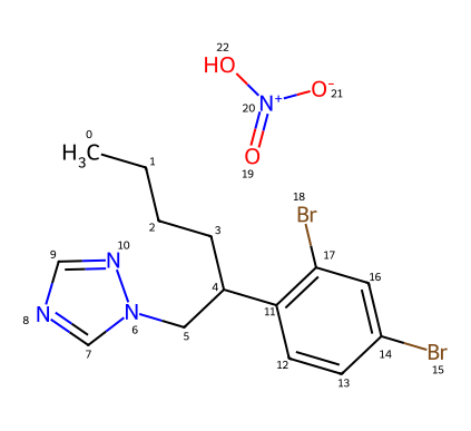 CCCCC(Cn1cncn1)c1ccc(Br)cc1Br.O=[N+]([O-])O